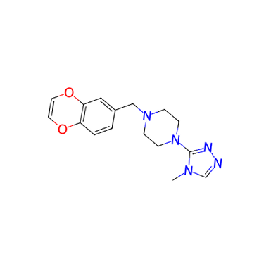 Cn1cnnc1N1CCN(Cc2ccc3c(c2)OC=CO3)CC1